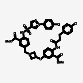 COC(=O)c1cc(OC2CN(Cc3ccc(NS(=O)(=O)c4cnn(-c5ccc(Cl)cc5)c4)c(C(=O)OC)c3)C2)ccc1NC(=O)CCc1ccc(Cl)cc1